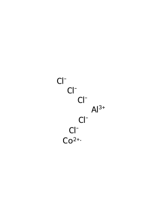 [Al+3].[Cl-].[Cl-].[Cl-].[Cl-].[Cl-].[Co+2]